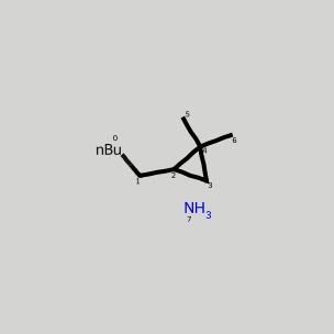 CCCCCC1CC1(C)C.N